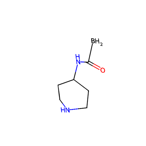 BC(=O)NC1CCNCC1